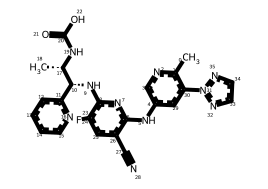 Cc1ncc(Nc2nc(N[C@H](c3ccccn3)[C@H](C)NC(=O)O)c(F)cc2C#N)cc1-n1nccn1